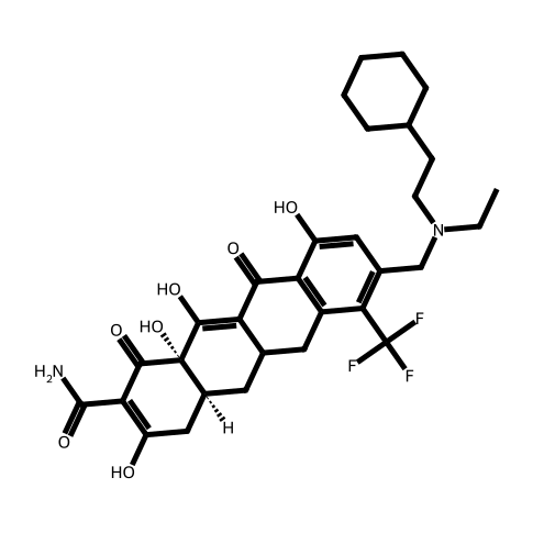 CCN(CCC1CCCCC1)Cc1cc(O)c2c(c1C(F)(F)F)CC1C[C@H]3CC(O)=C(C(N)=O)C(=O)[C@@]3(O)C(O)=C1C2=O